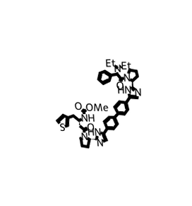 CCN(CC)[C@@H](C(=O)N1CCC[C@H]1c1ncc(-c2ccc(-c3ccc(-c4cnc([C@@H]5CCCN5C(=O)C[C@H](Cc5ccsc5)NC(=O)OC)[nH]4)cc3)cc2)[nH]1)c1ccccc1